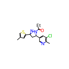 CCC(=O)N1N=C(c2cc(C)cs2)CC1c1cnc(C)c(Cl)c1